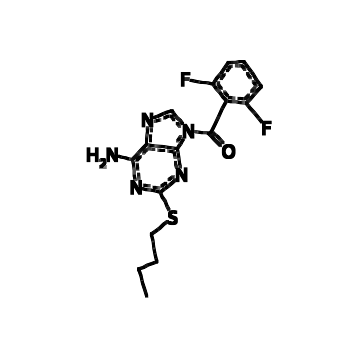 CCCCSc1nc(N)c2ncn(C(=O)c3c(F)cccc3F)c2n1